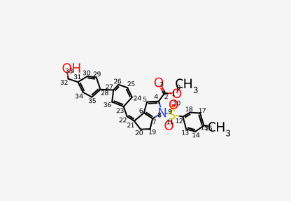 COC(=O)c1cc2c(n1S(=O)(=O)c1ccc(C)cc1)CCC2=Cc1cccc(-c2ccc(CO)cc2)c1